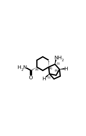 NC(=O)[C@@H]1CCC[C@@]2(C1)[C@H]1CC[C@H](C1)[C@@H]2N